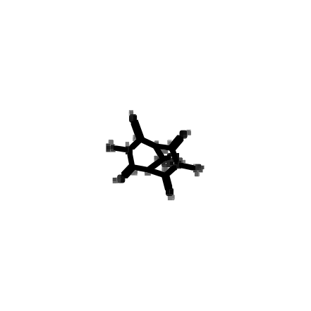 CCN1C(=O)C2C(=O)N(C(C)C)C(=O)C(C1=O)C2(C)C